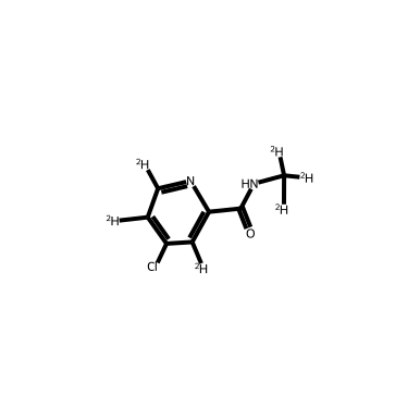 [2H]c1nc(C(=O)NC([2H])([2H])[2H])c([2H])c(Cl)c1[2H]